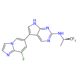 C[C@@H](Nc1ncc2c(-c3cc(F)c4nccn4c3)c[nH]c2n1)C(F)(F)F